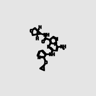 CNc1cc(Nc2cccnc2OC2CC2)nc2c(C(=O)N[C@H]3[C@@H]4COC[C@@H]43)cnn12